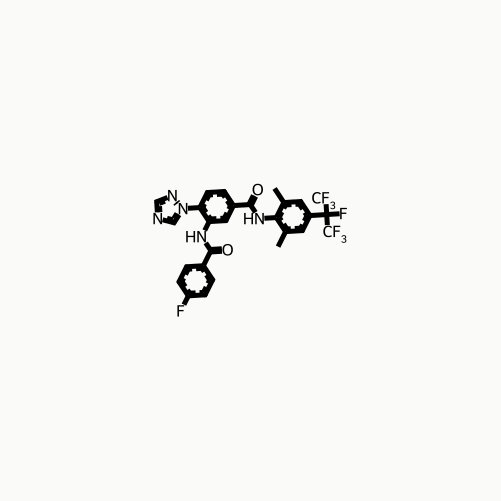 Cc1cc(C(F)(C(F)(F)F)C(F)(F)F)cc(C)c1NC(=O)c1ccc(-n2cncn2)c(NC(=O)c2ccc(F)cc2)c1